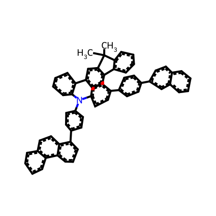 CC1(C)c2ccccc2-c2ccc(-c3ccccc3N(c3ccc(-c4ccc(-c5ccc6ccccc6c5)cc4)cc3)c3ccc(-c4cccc5c4ccc4ccccc45)cc3)cc21